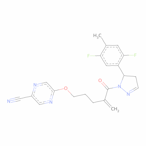 C=C(CCCOc1cnc(C#N)cn1)C(=O)N1N=CCC1c1cc(F)c(C)cc1F